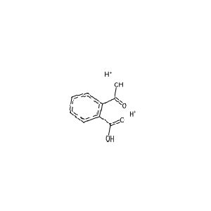 O=C(O)c1ccccc1C(=O)O.[H+].[H+]